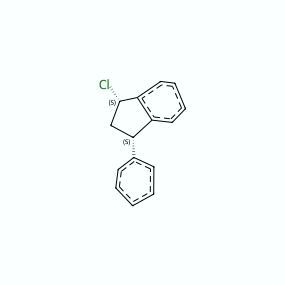 Cl[C@H]1C[C@@H](c2ccccc2)c2ccccc21